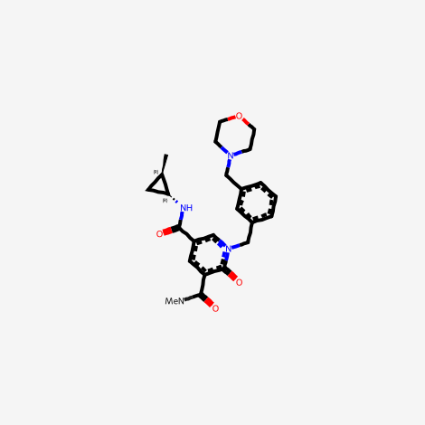 CNC(=O)c1cc(C(=O)N[C@@H]2C[C@H]2C)cn(Cc2cccc(CN3CCOCC3)c2)c1=O